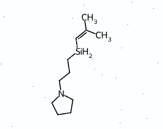 CC(C)=C[SiH2]CCCN1CCCC1